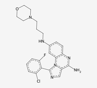 Nc1nc2ccc(NCCCN3CCOCC3)cc2n2c(-c3c(F)cccc3Cl)ncc12